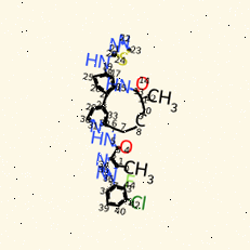 Cc1c(C(=O)N[C@H]2CCCC[C@H](C)C(=O)Nc3cc(Nc4nncs4)ccc3-c3ccnc2c3)nnn1-c1cccc(Cl)c1F